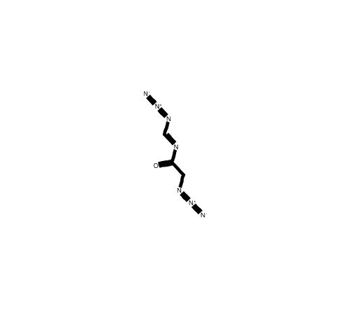 [N-]=[N+]=NC=NC(=O)CN=[N+]=[N-]